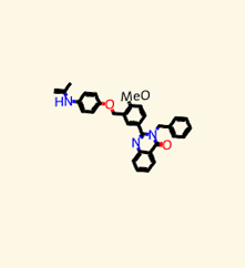 C=C(C)Nc1ccc(OCc2cc(-c3nc4ccccc4c(=O)n3Cc3ccccc3)ccc2OC)cc1